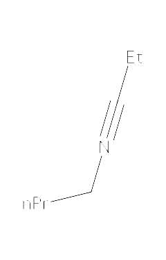 CCC#[N+]CCCC